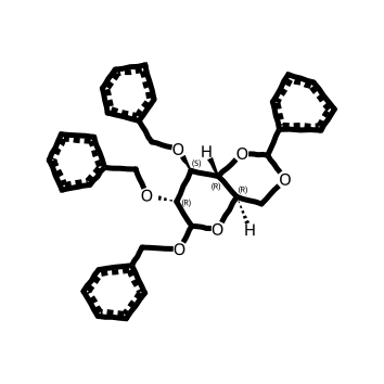 c1ccc(COC2O[C@@H]3COC(c4ccccc4)O[C@H]3[C@H](OCc3ccccc3)[C@H]2OCc2ccccc2)cc1